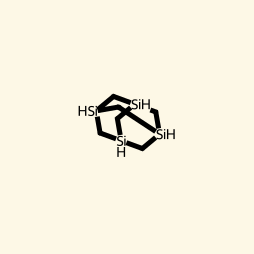 C1[SiH]2C[SiH]3C[SiH]1C[SiH](C2)C3